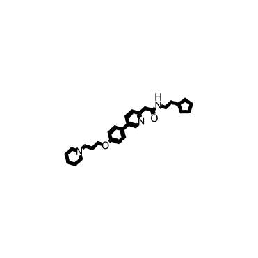 O=C(Cc1ccc(-c2ccc(OCCCN3CCCCC3)cc2)cn1)NCCC1CCCC1